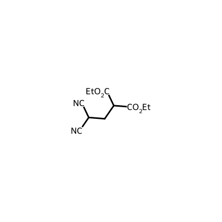 CCOC(=O)C(CC(C#N)C#N)C(=O)OCC